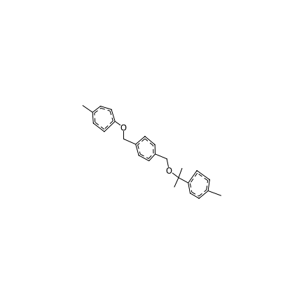 Cc1ccc(OCc2ccc(COC(C)(C)c3ccc(C)cc3)cc2)cc1